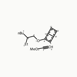 C#COC.CCCCC(CC)COc1cc2ccc1-2